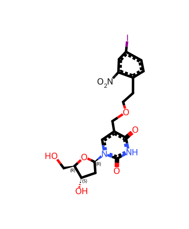 O=c1[nH]c(=O)n([C@H]2C[C@H](O)[C@@H](CO)O2)cc1COCCc1ccc(I)cc1[N+](=O)[O-]